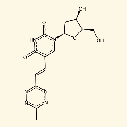 Cc1nnc(/C=C/c2cn([C@H]3C[C@@H](O)[C@@H](CO)O3)c(=O)[nH]c2=O)nn1